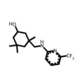 CC1(C)CC(O)CC(C)(CNc2cccc(C(F)(F)F)n2)C1